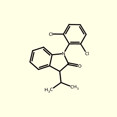 CC(C)C1C(=O)N(c2c(Cl)cccc2Cl)c2ccccc21